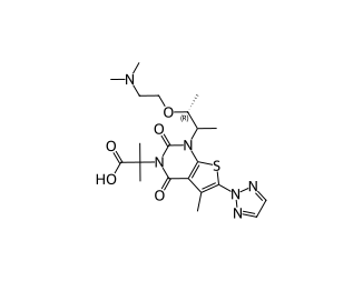 Cc1c(-n2nccn2)sc2c1c(=O)n(C(C)(C)C(=O)O)c(=O)n2C(C)[C@@H](C)OCCN(C)C